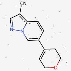 N#Cc1cnn2cc(C3=CCOCC3)ccc12